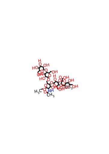 CCO[C@@H]1OC(CO[C@@H]2OC(CO)[C@@H](O[C@@H]3OC(CO)[C@H](O)[C@H](O)C3O)[C@H](O)C2O)[C@@H](O[C@@H]2OC(CO)[C@H](O)[C@H](OC3(C(=O)O)CC(O)[C@@H](C)[C@H]([C@H](O)[C@H](O)CO)O3)C2O)[C@H](O)C1NC(C)=O